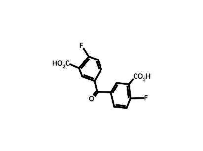 O=C(c1ccc(F)c(C(=O)O)c1)c1ccc(F)c(C(=O)O)c1